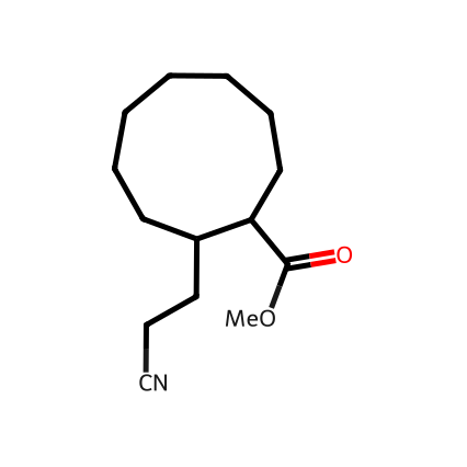 COC(=O)C1CCCCCCCC1CCC#N